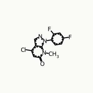 Cn1c(=O)cc(Cl)c2cnn(-c3ccc(F)cc3F)c21